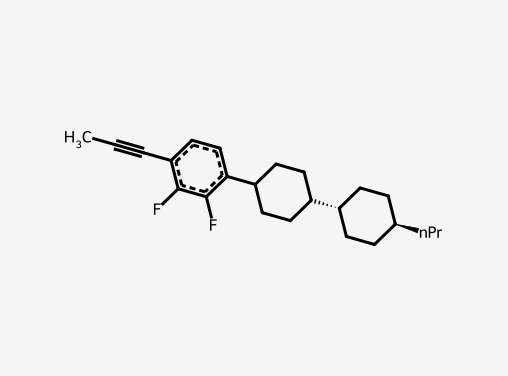 CC#Cc1ccc(C2CCC([C@H]3CC[C@H](CCC)CC3)CC2)c(F)c1F